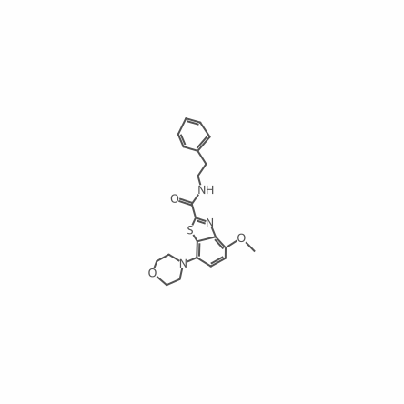 COc1ccc(N2CCOCC2)c2sc(C(=O)NCCc3ccccc3)nc12